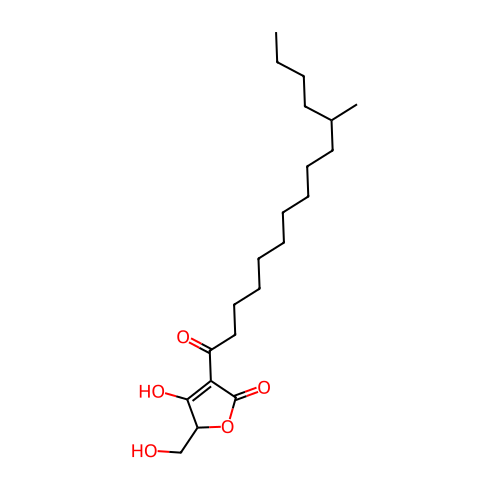 CCCCC(C)CCCCCCCCCC(=O)C1=C(O)C(CO)OC1=O